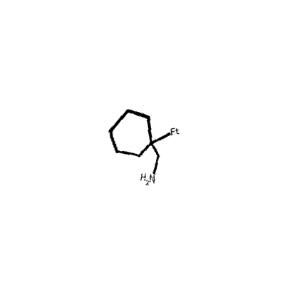 CCC1(CN)CCCCC1